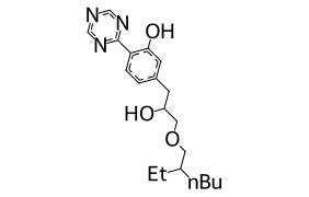 CCCCC(CC)COCC(O)Cc1ccc(-c2ncncn2)c(O)c1